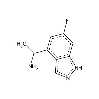 CC(N)c1cc(F)cc2[nH]ncc12